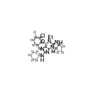 CCN1C(=O)c2c(nc(NC3CCCCC3)n2Cc2ccc(C)c(Cl)c2)N2C1=N[C@@H]1CCC[C@@H]12